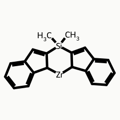 C[Si]1(C)C2=Cc3ccccc3[CH]2[Zr][CH]2C1=Cc1ccccc12